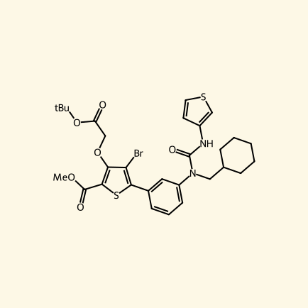 COC(=O)c1sc(-c2cccc(N(CC3CCCCC3)C(=O)Nc3ccsc3)c2)c(Br)c1OCC(=O)OC(C)(C)C